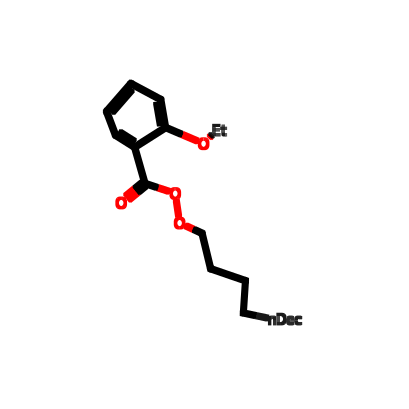 [CH2]CCCCCCCCCCCCCOOC(=O)c1ccccc1OCC